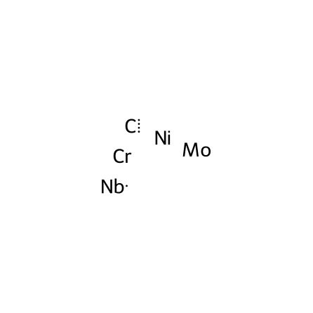 [C].[Cr].[Mo].[Nb].[Ni]